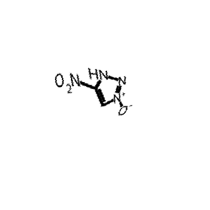 O=[N+]([O-])c1c[n+]([O-])n[nH]1